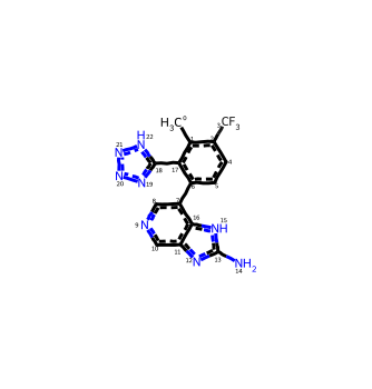 Cc1c(C(F)(F)F)ccc(-c2cncc3nc(N)[nH]c23)c1-c1nnn[nH]1